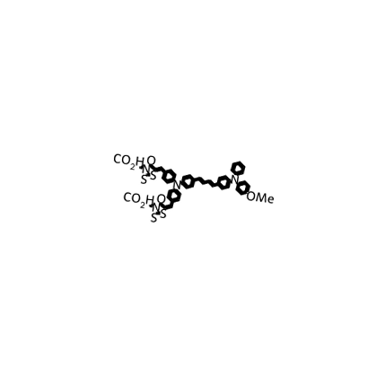 COc1ccc(N(c2ccccc2)c2ccc(C=CC=Cc3ccc(N(c4ccc(/C=C5\SC(=S)N(CC(=O)O)C5=O)cc4)c4ccc(/C=C5/SC(=S)N(CC(=O)O)C5=O)cc4)cc3)cc2)cc1